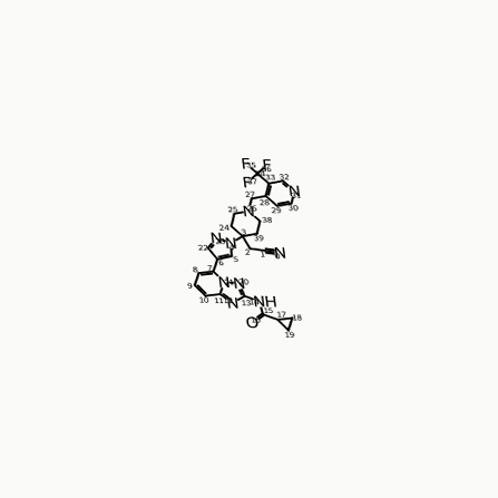 N#CCC1(n2cc(-c3cccc4nc(NC(=O)C5CC5)nn34)cn2)CCN(Cc2ccncc2C(F)(F)F)CC1